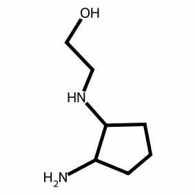 NC1CCCC1NCCO